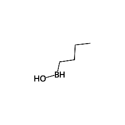 CCCCBO